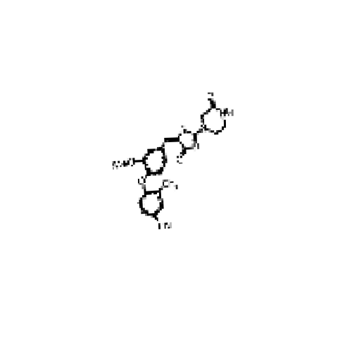 COc1cc(C=C2SC(N3CCNC(=O)C3)=NC2=O)ccc1Oc1ccc(C#N)cc1C(F)(F)F